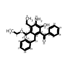 CCOC(=O)c1c(CC)c(N)c(O)c(C(=O)c2ccccc2)c1Cc1ccccc1